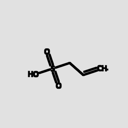 [CH]=CCS(=O)(=O)O